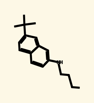 CCCCNc1ccc2ccc(C(C)(C)C)cc2c1